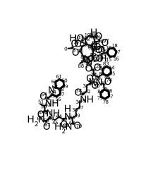 CC(=O)O[C@H]1C(=O)[C@@]2(C)[C@H]([C@H](OC(=O)c3ccccc3)[C@]3(O)C[C@H](OC(=O)[C@H](OC(=O)CCC(=O)NCCCCC(NC(=O)CC[C@H](NC(=O)C(C)NC(=O)c4ccc5ccccc5n4)C(N)=O)C(N)=O)[C@H](NC(=O)c4ccccc4)c4ccccc4)C(C)=C1C3(C)C)[C@]1(OC(C)=O)CO[C@@H]1C[C@@H]2O